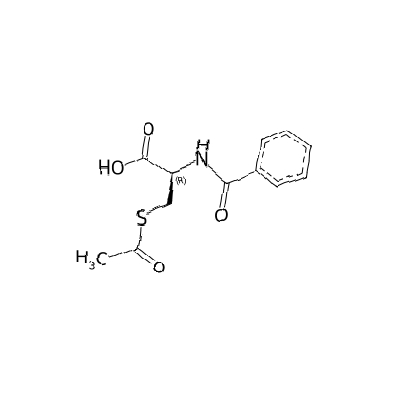 CC(=O)SC[C@H](NC(=O)c1ccccc1)C(=O)O